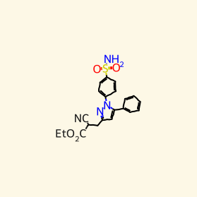 CCOC(=O)C(C#N)Cc1cc(-c2ccccc2)n(-c2ccc(S(N)(=O)=O)cc2)n1